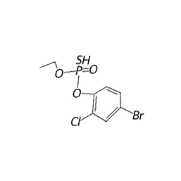 CCOP(=O)(S)Oc1ccc(Br)cc1Cl